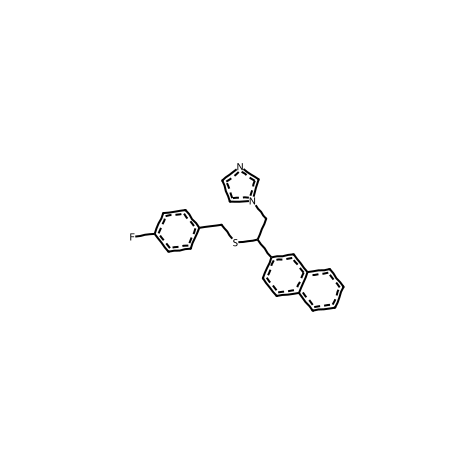 Fc1ccc(CSC(Cn2ccnc2)c2ccc3ccccc3c2)cc1